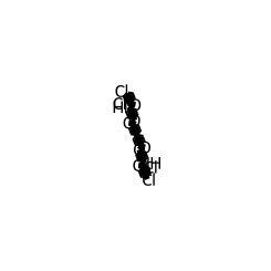 O=C(Oc1ccc(NC(=O)c2ccc(Cl)cc2Cl)cc1)c1ccc(-c2ccc(C(=O)Oc3ccc(NC(=O)c4ccc(Cl)cc4Cl)cc3)cc2)cc1